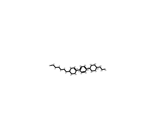 CCCCCCCC1CC=C(c2ccc(C3CCC(CCC)CC3)cc2)CC1